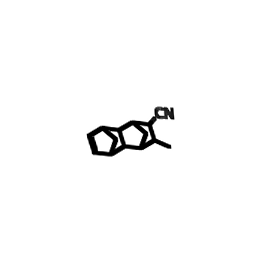 CC1C(C#N)C2CC1C1C3C=CC(C3)C21